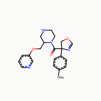 COc1ccc(C2(C(=O)N3CCNCC3COc3cccnc3)COC=N2)cc1